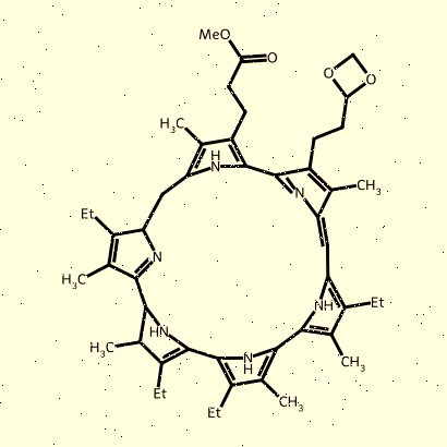 CCC1=C(C)C2=NC1Cc1[nH]c(c(CCC(=O)OC)c1C)C1=N/C(=C\c3[nH]c(c(C)c3CC)-c3[nH]c(c(CC)c3C)C3=C(CC)C(C)C2N3)C(C)=C1CCC1OCO1